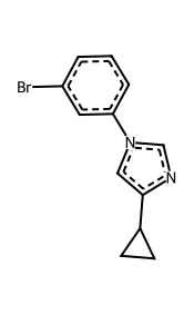 Brc1cccc(-n2cnc(C3CC3)c2)c1